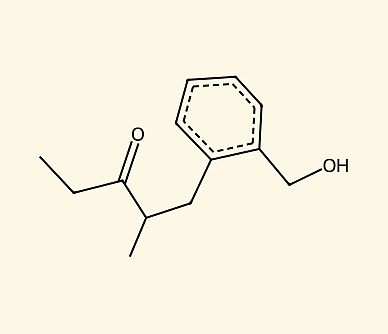 CCC(=O)C(C)Cc1ccccc1CO